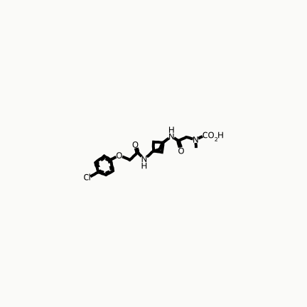 CN(CC(=O)NC12CC(NC(=O)COc3ccc(Cl)cc3)(C1)C2)C(=O)O